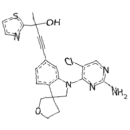 CC(O)(C#Cc1ccc2c(c1)N(c1nc(N)ncc1Cl)CC21CCOC1)c1nccs1